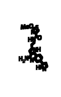 COc1nc(C(=O)NCCc2cc3c(N)nc4cc(-c5ccn[nH]5)ccc4c3[nH]2)cs1